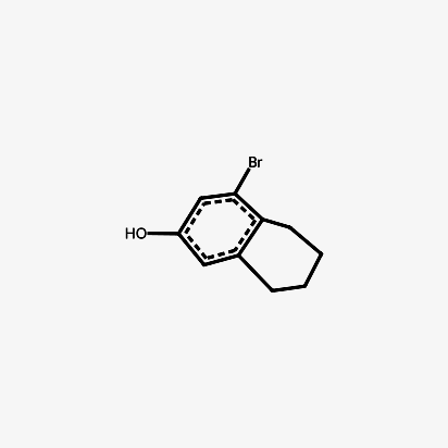 Oc1cc(Br)c2c(c1)CCCC2